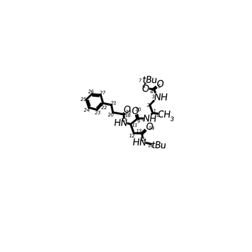 CC(CNC(=O)OC(C)(C)C)NC(=O)C(CC(=O)NC(C)(C)C)NC(=O)CCc1ccccc1